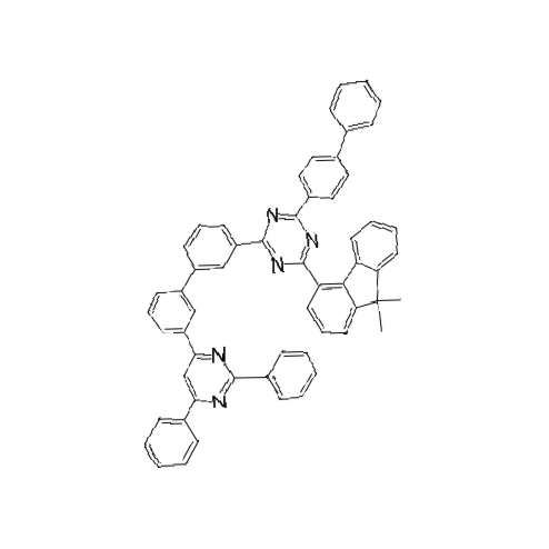 CC1(C)c2ccccc2-c2c(-c3nc(-c4ccc(-c5ccccc5)cc4)nc(-c4cccc(-c5cccc(-c6cc(-c7ccccc7)nc(-c7ccccc7)n6)c5)c4)n3)cccc21